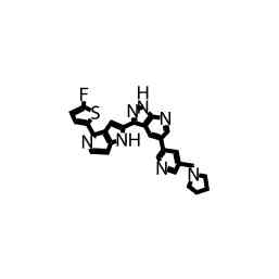 Fc1ccc(-c2nccc3[nH]c(-c4n[nH]c5ncc(-c6cncc(CN7CCCC7)c6)cc45)cc23)s1